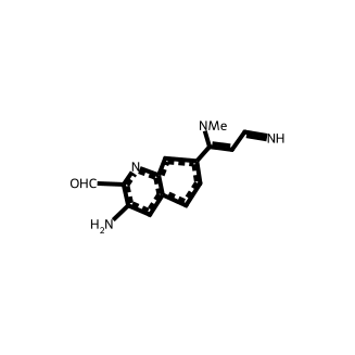 CN/C(=C\C=N)c1ccc2cc(N)c(C=O)nc2c1